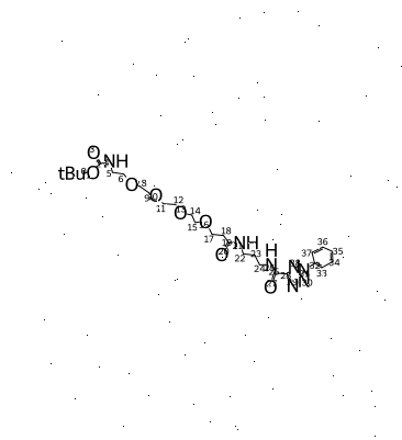 CC(C)(C)OC(=O)NCCOCCOCCOCCOCCC(=O)NCCCNC(=O)c1nnn(-c2ccccc2)n1